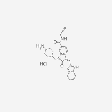 C#CCNC(=O)c1ccc2c(c1)N(CC1CCC(N)CC1)C(=O)/C2=C\c1cc2ccccc2[nH]1.Cl